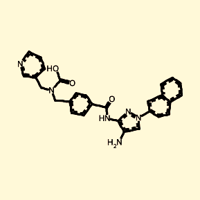 Nc1cn(-c2ccc3ccccc3c2)nc1NC(=O)c1ccc(CN(Cc2cccnc2)C(=O)O)cc1